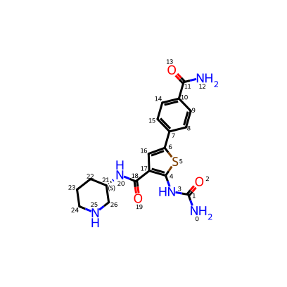 NC(=O)Nc1sc(-c2ccc(C(N)=O)cc2)cc1C(=O)N[C@H]1CCCNC1